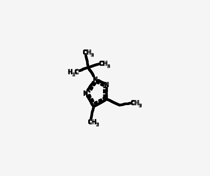 CCc1nn(C(C)(C)C)nc1C